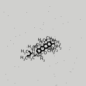 B[C@@]12C(=C)C(C(=C)N)=C(O)[C@@H](C(C)C)[C@]1(C)CC1Cc3c(N(C)C)cc(NC(=C)NC(CC)CCC)c(C)c3C(=O)C1=C2C